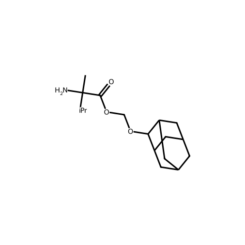 CC(C)C(C)(N)C(=O)OCOC1C2CC3CC(C2)CC1C3